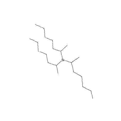 CCCCCC(C)[Si](C(C)CCCCC)C(C)CCCCC